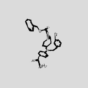 CC(=O)C(N)c1ccc(N(Cc2cccc(C#N)c2)C2CCN(C(=O)OCc3ccccc3)CC2)cc1